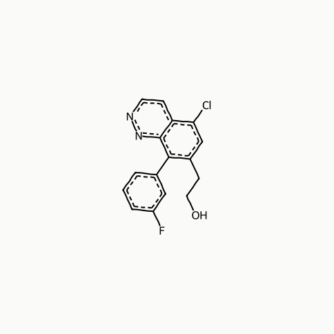 OCCc1cc(Cl)c2ccnnc2c1-c1cccc(F)c1